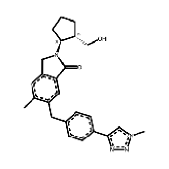 Cc1cc2c(cc1Cc1ccc(-c3cn(C)nn3)cc1)C(=O)N([C@H]1CCC[C@@H]1CO)C2